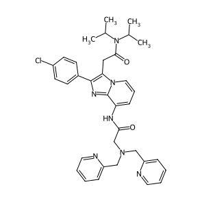 CC(C)N(C(=O)Cc1c(-c2ccc(Cl)cc2)nc2c(NC(=O)CN(Cc3ccccn3)Cc3ccccn3)cccn12)C(C)C